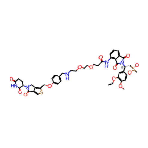 CCOc1cc([C@@H](CS(C)(=O)=O)N2C(=O)c3cccc(NC(=O)CCOCCOCCNCc4ccc(OCc5scc6c5CN(C5CCC(=O)NC5=O)C6=O)cc4)c3C2=O)ccc1OC